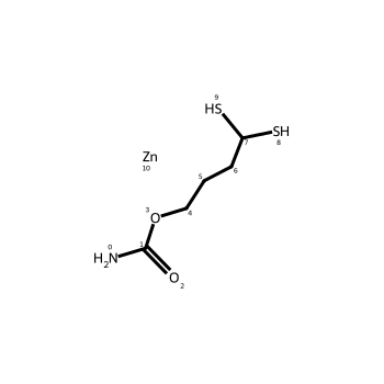 NC(=O)OCCCC(S)S.[Zn]